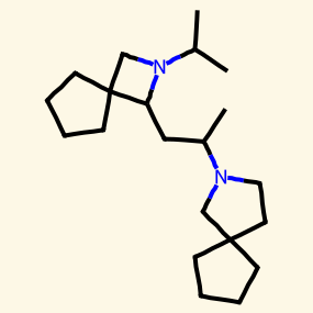 CC(CC1N(C(C)C)CC12CCCC2)N1CCC2(CCCC2)C1